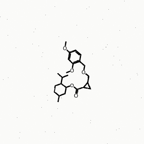 COc1ccc(COCC2CC2C(=O)OC2CC(C)CCC2C(C)C)c(OC)c1